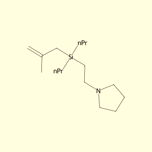 C=C(C)C[Si](CCC)(CCC)CCN1CCCC1